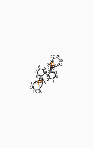 c1ccc(-c2ccccc2CP2C3CCCCC2CC3)c(CP2C3CCCCC2CC3)c1